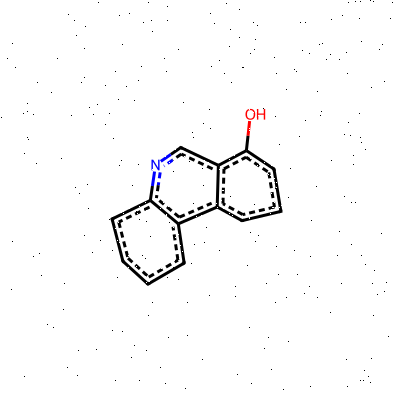 Oc1cccc2c1cnc1ccccc12